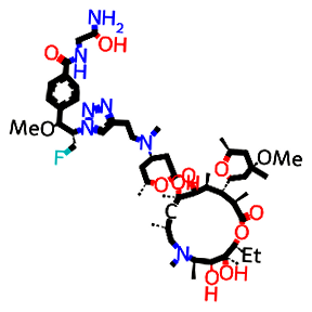 CC[C@H]1OC(=O)[C@H](C)[C@@H](C2C[C@@](C)(OC)C[C@H](C)O2)[C@H](C)C(O[C@H]2C[C@@H](N(C)CCc3cn([C@H](CF)[C@H](OC)c4ccc(C(=O)NCC(N)O)cc4)nn3)C[C@@H](C)O2)[C@](C)(O)C[C@@H](C)CN(C)[C@H](C)[C@@H](O)[C@]1(C)O